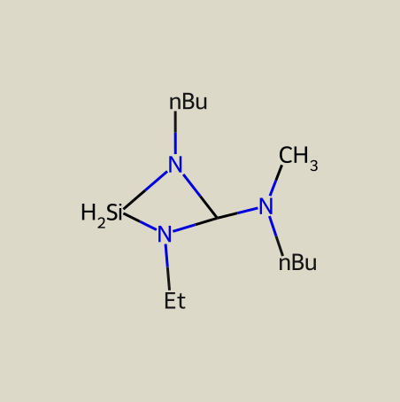 CCCCN(C)C1N(CC)[SiH2]N1CCCC